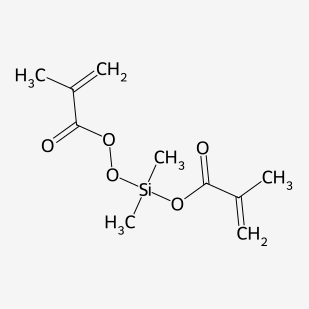 C=C(C)C(=O)OO[Si](C)(C)OC(=O)C(=C)C